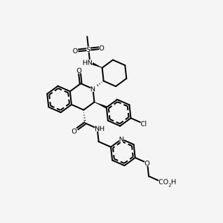 CS(=O)(=O)N[C@H]1CCCC[C@@H]1N1C(=O)c2ccccc2[C@@H](C(=O)NCc2ccc(OCC(=O)O)cn2)[C@@H]1c1ccc(Cl)cc1